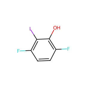 Oc1c(F)ccc(F)c1I